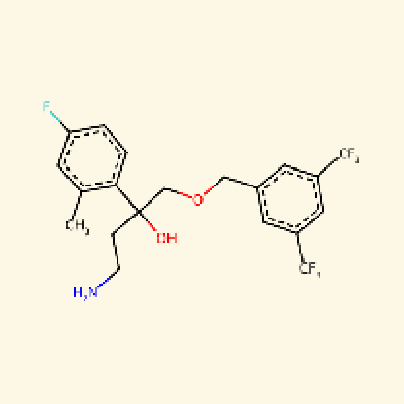 Cc1cc(F)ccc1C(O)(CCN)COCc1cc(C(F)(F)F)cc(C(F)(F)F)c1